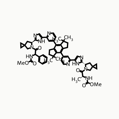 COC(=O)NC(C(=O)N1CC2(CC2)C[C@H]1c1ncc(-c2cc(-c3c4c(c(-c5ccnc(-c6cnc([C@@H]7CC8(CC8)CN7C(=O)[C@@H](C)NC(=O)OC)[nH]6)c5)c5c3C(C)(C)CC5)C(C)(C)CC4)ccn2)[nH]1)c1ccccc1